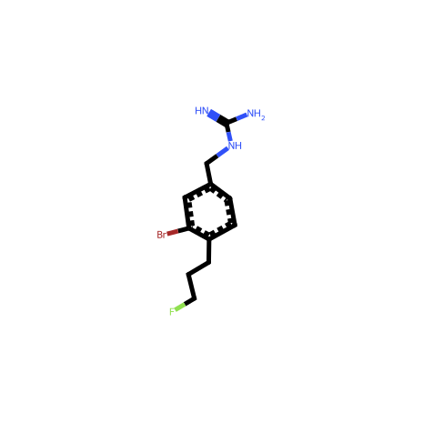 N=C(N)NCc1ccc(CCCF)c(Br)c1